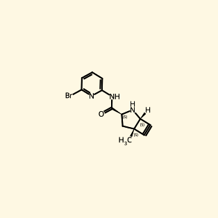 C[C@]12C#C[C@H]1N[C@H](C(=O)Nc1cccc(Br)n1)C2